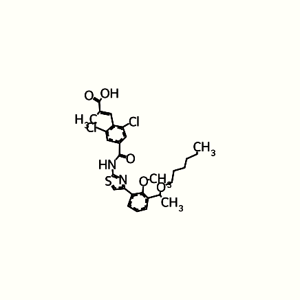 CCCCCCOC(C)c1cccc(-c2csc(NC(=O)c3cc(Cl)c(/C=C(\C)C(=O)O)c(Cl)c3)n2)c1OC